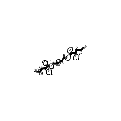 CCCC(Cl)C(=O)OCCOCCOC(=O)C(Cl)CCC